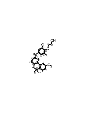 COc1ccc2c(c1)-c1nc(Nc3cc(C)c(OCCO)c(Cl)c3)ncc1CC2(C)C